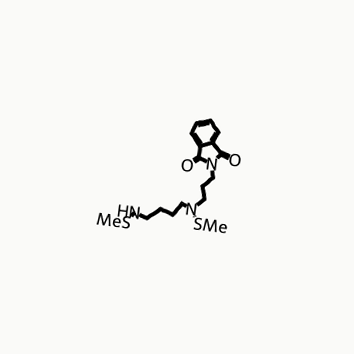 CSNCCCCN(CCCN1C(=O)c2ccccc2C1=O)SC